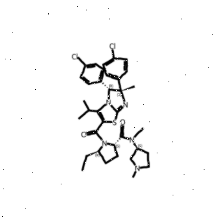 CC[C@@H]1CC[C@@H](C(=O)N(C)[C@H]2CCN(C)C2)N1C(=O)C1=C(C(C)C)N2C(=N[C@@](C)(c3ccc(Cl)cc3)[C@H]2c2ccc(Cl)cc2)S1